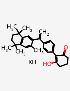 C=C(c1ccc(C2=C(O)CCCC2=O)cc1)c1cc2c(cc1C)C(C)(C)CCC2(C)C.[KH]